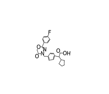 O=C(O)C(c1ccc(CN2N=C(c3ccc(F)cc3)OCC2=O)cc1)C1CCCC1